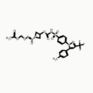 CC(=O)OCO/N=[N+](\[O-])N1CC(OC(=O)NS(=O)(=O)c2ccc(-n3nc(C(F)(F)F)cc3-c3ccc(C)cc3)cc2)C1